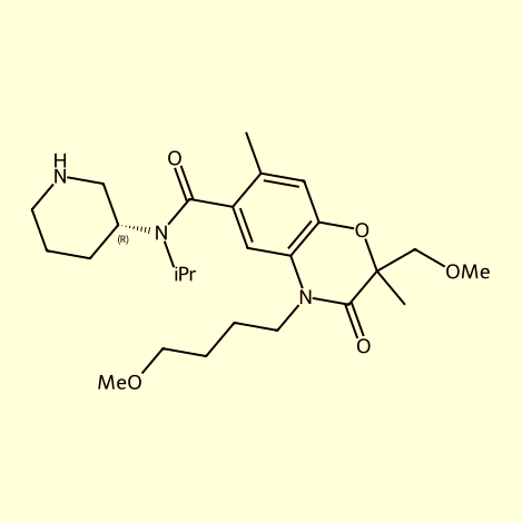 COCCCCN1C(=O)C(C)(COC)Oc2cc(C)c(C(=O)N(C(C)C)[C@@H]3CCCNC3)cc21